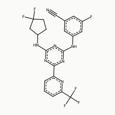 N#Cc1cc(F)cc(Nc2nc(NC3CCC(F)(F)C3)nc(-c3cccc(C(F)(F)F)n3)n2)c1